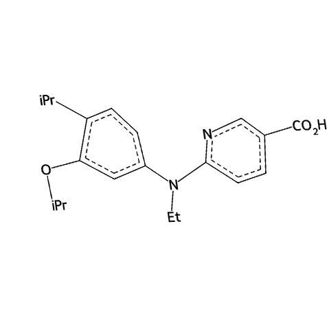 CCN(c1ccc(C(C)C)c(OC(C)C)c1)c1ccc(C(=O)O)cn1